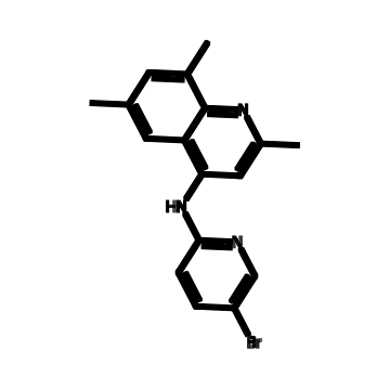 Cc1cc(C)c2nc(C)cc(Nc3ccc(Br)cn3)c2c1